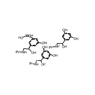 CC(C)NCC(O)c1cc(O)cc(O)c1.CC(C)NCC(O)c1cc(O)cc(O)c1.CC(C)NCC(O)c1cc(O)cc(O)c1.O=S(=O)(O)O